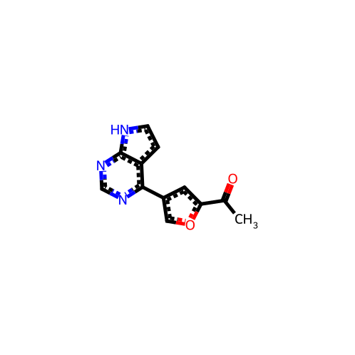 CC(=O)c1cc(-c2ncnc3[nH]ccc23)co1